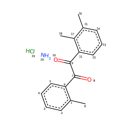 Cc1ccccc1C(=O)C(=O)c1cccc(C)c1C.Cl.N